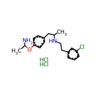 CC(Cc1ccc(OC(C)N)cc1)NCCc1cccc(Cl)c1.Cl.Cl